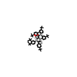 Cc1nc2c3c(n1)N(c1ccc4c(c1)C(C)(C)CCC4(C)C)c1c(sc4cc(C(C)(C)C)ccc14)B3c1ccc(C(C)(C)C)cc1N2c1ccc(C(C)(C)C)cc1-c1ccc(C(C)(C)C)cc1